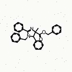 CC1(C(=O)OCc2ccccc2)N=C(c2ccccc2)N(Cc2ccccc2)C1c1ccccc1